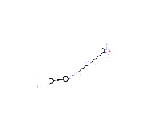 O=C(CCCCC1SCC2NC(=O)NC21)NCCCCCCNC(=S)Nc1ccc(C#Cc2cc(C(=O)O)nc(C(=O)O)c2)cc1